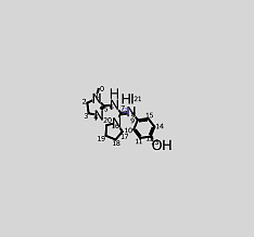 CN1CCN=C1N/C(=N/c1ccc(O)cc1)N1CCCC1.I